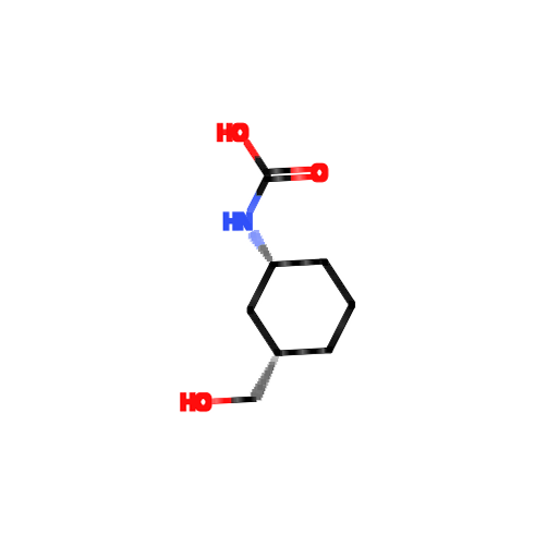 O=C(O)N[C@@H]1CCC[C@H](CO)C1